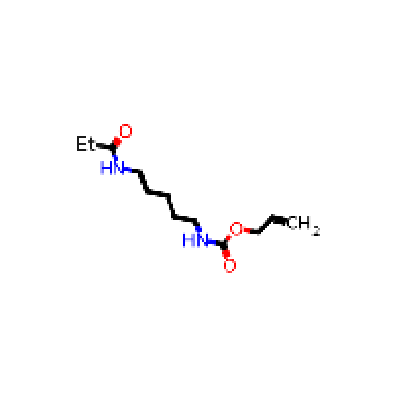 C=CCOC(=O)NCCCCCNC(=O)CC